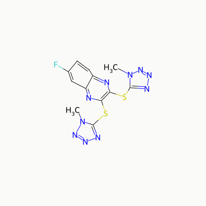 Cn1nnnc1Sc1nc2ccc(F)cc2nc1Sc1nnnn1C